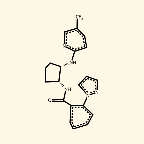 O=C(N[C@@H]1CCC[C@@H]1Nc1ccc(C(F)(F)F)cn1)c1ccccc1-n1cccn1